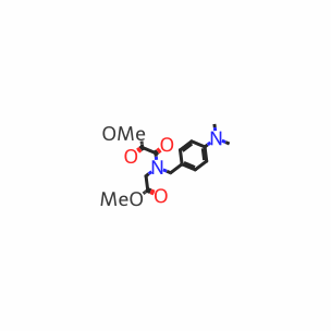 COC(=O)CN(Cc1ccc(N(C)C)cc1)C(=O)C(=O)OC